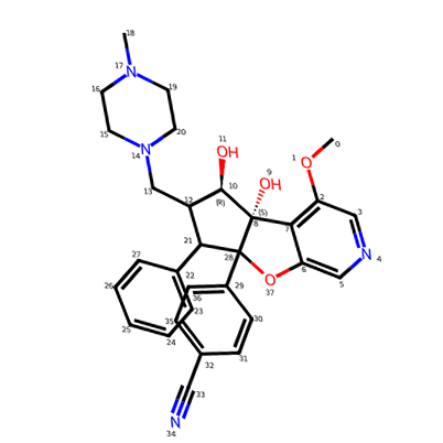 COc1cncc2c1[C@]1(O)[C@H](O)C(CN3CCN(C)CC3)C(c3ccccc3)C1(c1ccc(C#N)cc1)O2